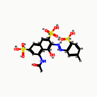 CC(=O)Nc1cc(S(=O)(=O)O)cc2cc(S(=O)(=O)O)c(N=Nc3cc(C)ccc3S(=O)O)c(O)c12